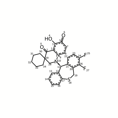 O=C1c2c(O)c(=O)ccn2N([C@@H]2c3ccccc3SCc3c2ccc(F)c3F)CC12CCCCC2